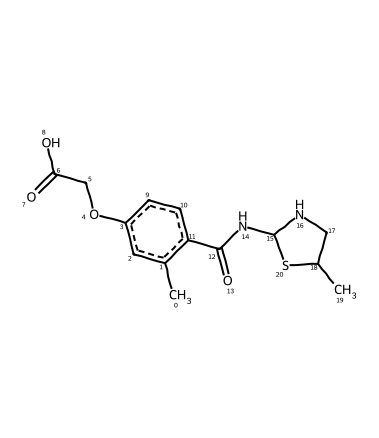 Cc1cc(OCC(=O)O)ccc1C(=O)NC1NCC(C)S1